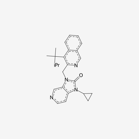 CC(C)C(C)(C)c1c(Cn2c(=O)n(C3CC3)c3ccncc32)ncc2ccccc12